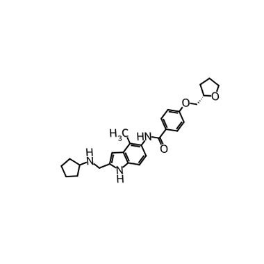 Cc1c(NC(=O)c2ccc(OC[C@@H]3CCCO3)cc2)ccc2[nH]c(CNC3CCCC3)cc12